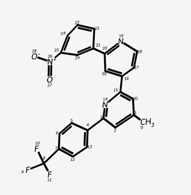 Cc1cc(-c2ccc(C(F)(F)F)cc2)nc(-c2ccnc(-c3cccc([N+](=O)[O-])c3)c2)c1